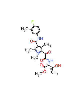 COC(=O)[C@@H](NC(=O)C(=O)c1c(C)c(C(=O)Nc2ccc(F)c(C)c2)c(C)n1C)[C@H](C)O